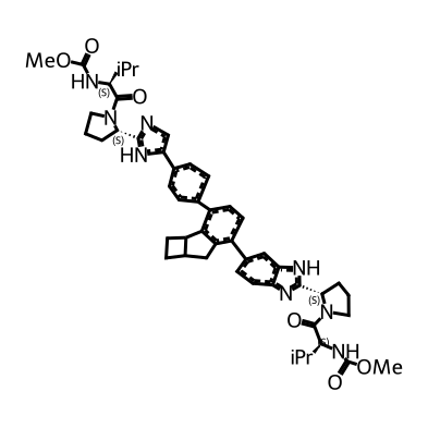 COC(=O)N[C@H](C(=O)N1CCC[C@H]1c1ncc(-c2ccc(-c3ccc(-c4ccc5nc([C@@H]6CCCN6C(=O)[C@@H](NC(=O)OC)C(C)C)[nH]c5c4)c4c3C3CCC3C4)cc2)[nH]1)C(C)C